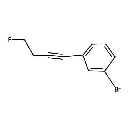 FCCC#Cc1cccc(Br)c1